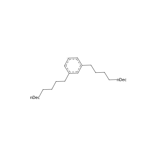 CCCCCCCCCCCCCCc1c[c]cc(CCCCCCCCCCCCCC)c1